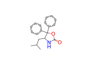 CC(C)CC1NC(=O)OC1(c1ccccc1)c1ccccc1